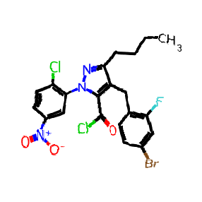 CCCCc1nn(-c2cc([N+](=O)[O-])ccc2Cl)c(C(=O)Cl)c1Cc1ccc(Br)cc1F